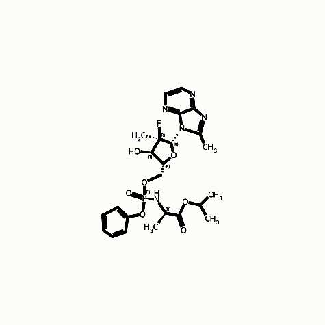 Cc1nc2nccnc2n1[C@@H]1O[C@H](CO[P@](=O)(N[C@H](C)C(=O)OC(C)C)Oc2ccccc2)[C@@H](O)[C@@]1(C)F